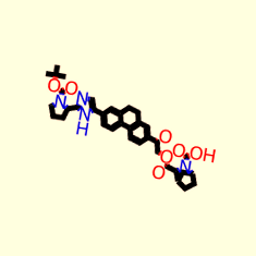 CC(C)(C)OC(=O)N1CCCC1c1ncc(-c2ccc3c(c2)CCc2cc(C(=O)COC(=O)C4C5CCC(C5)N4C(=O)O)ccc2-3)[nH]1